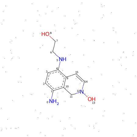 Nc1ccc(NCCO)c2c1CN(O)C=C2